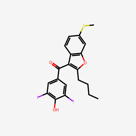 CCCCc1oc2cc(SC)ccc2c1C(=O)c1cc(I)c(O)c(I)c1